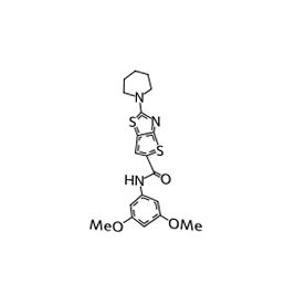 COc1cc(NC(=O)c2cc3sc(N4CCCCC4)nc3s2)cc(OC)c1